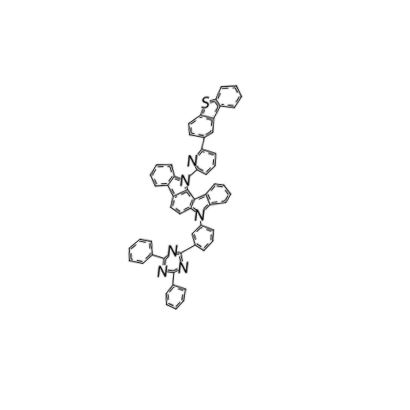 c1ccc(-c2nc(-c3ccccc3)nc(-c3cccc(-n4c5ccccc5c5c4ccc4c6ccccc6n(-c6cccc(-c7ccc8sc9ccccc9c8c7)n6)c45)c3)n2)cc1